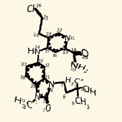 Cn1c(=O)n(CCC(C)(C)O)c2cc(Nc3cc(C(N)=O)ncc3CCCl)ccc21